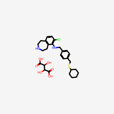 Clc1ccc2c(c1NCc1ccc(CSC3CCCCC3)cc1)CCNCC2.O=C(O)C(O)C(O)C(=O)O